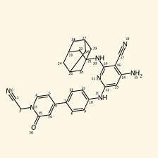 N#CCn1ccc(-c2ccc(Nc3cc(N)c(C#N)c(NC45CC6CC(CC(C6)C4)C5)n3)cc2)cc1=O